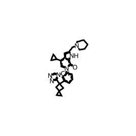 Cn1cnnc1C1(c2cccc(-n3cc(C4CC4)c4cc(CN5CCCCC5)[nH]c4c3=O)c2)CC2(CC2)C1